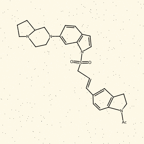 CC(=O)N1CCc2cc(C=CCS(=O)(=O)n3ccc4ccc(N5CCN6CCCC6C5)cc43)ccc21